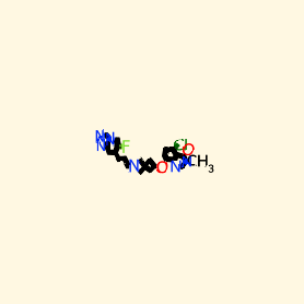 Cn1cnc2c(OC3CC4(C3)CN(CCCc3cc5nncn5cc3F)C4)ccc(Cl)c2c1=O